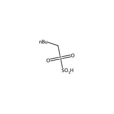 CCCCCS(=O)(=O)S(=O)(=O)O